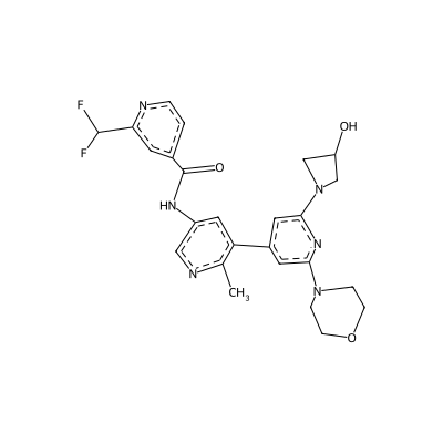 Cc1ncc(NC(=O)c2ccnc(C(F)F)c2)cc1-c1cc(N2CCOCC2)nc(N2CC(O)C2)c1